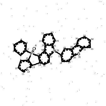 O=P1(c2ccccc2)c2ccccc2-c2ccc3c(c21)c1ccccc1n3-c1ccc2sc3ccccc3c2c1